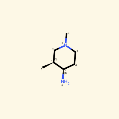 C[C@H]1CN(C)CC[C@H]1N